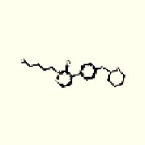 O=c1c(-c2ccc(OC3CCCCO3)cc2)ccnn1CCCCCl